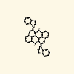 c1ccc2c(c1)ccn2-c1cc2cccc3sc4c(-n5ccc6ccccc65)cc5cccc6sc1c(c23)-c4c56